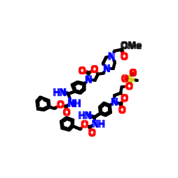 COC(=O)CN1CCN(CC2CN(c3ccc(C(=N)NC(=O)OCc4ccccc4)cc3)C(=O)O2)CC1.CS(=O)(=O)OCC1CN(c2ccc(C(=N)NC(=O)OCc3ccccc3)cc2)C(=O)O1